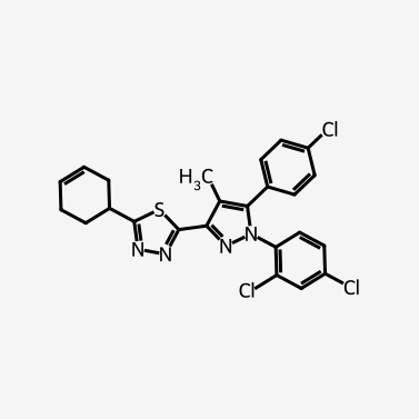 Cc1c(-c2nnc(C3CC=CCC3)s2)nn(-c2ccc(Cl)cc2Cl)c1-c1ccc(Cl)cc1